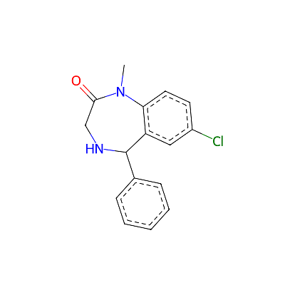 CN1C(=O)CNC(c2ccccc2)c2cc(Cl)ccc21